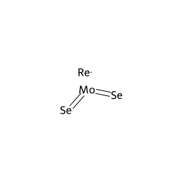 [Re].[Se]=[Mo]=[Se]